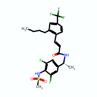 CCCCc1cc(C(F)(F)F)ccc1C=CC(=O)N[C@H](C)c1cc(F)c(NS(C)(=O)=O)c(F)c1